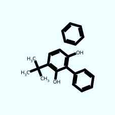 CC(C)(C)c1ccc(O)c(-c2ccccc2)c1O.c1ccccc1